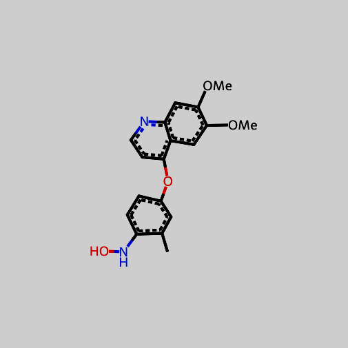 COc1cc2nccc(Oc3ccc(NO)c(C)c3)c2cc1OC